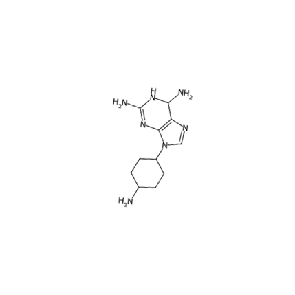 NC1=Nc2c(ncn2C2CCC(N)CC2)C(N)N1